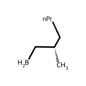 BC[C@@H](C)CCCC